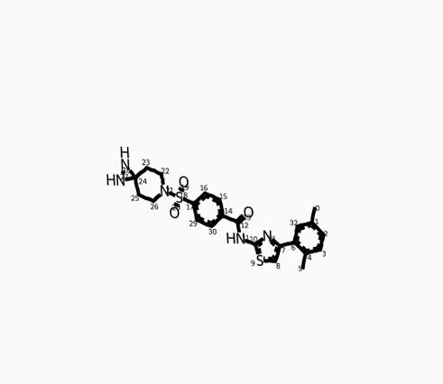 Cc1ccc(C)c(-c2csc(NC(=O)c3ccc(S(=O)(=O)N4CCC5(CC4)NN5)cc3)n2)c1